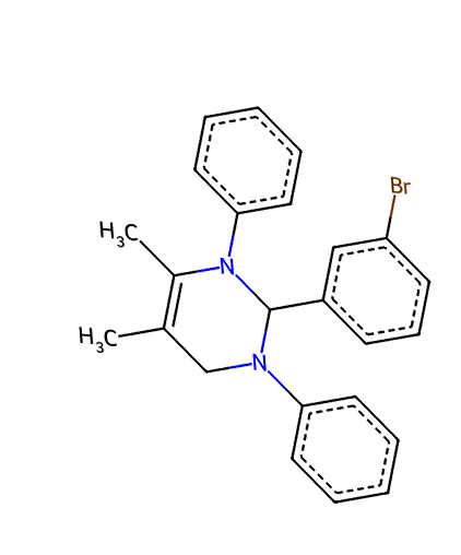 CC1=C(C)N(c2ccccc2)C(c2cccc(Br)c2)N(c2ccccc2)C1